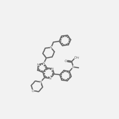 CN(C(=O)O)c1cccc(-c2nc(N3CCOCC3)c3cnn(C4CCN(Cc5ccccc5)CC4)c3n2)c1